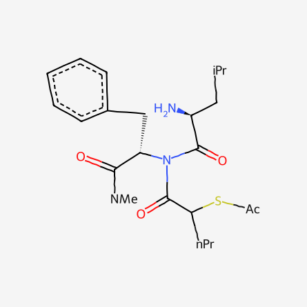 CCCC(SC(C)=O)C(=O)N(C(=O)[C@@H](N)CC(C)C)[C@@H](Cc1ccccc1)C(=O)NC